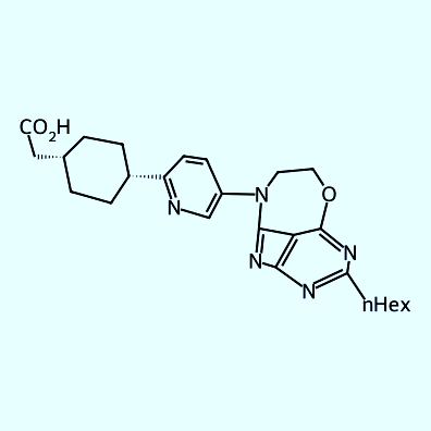 CCCCCCc1nc2c3c(n1)OCCN(c1ccc([C@H]4CC[C@@H](CC(=O)O)CC4)nc1)C3=N2